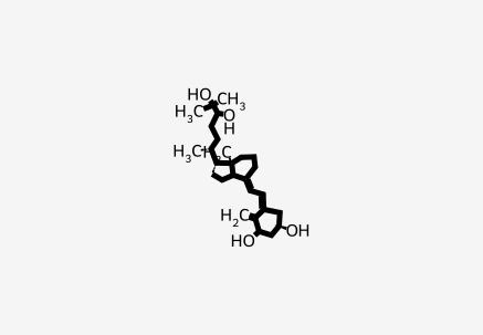 C=C1/C(=C\C=C2CCC[C@@]3(C)C2CC[C@@H]3[C@H](C)CCC(O)C(C)(C)O)C[C@@H](O)CC1O